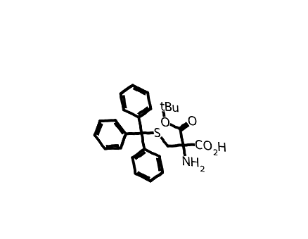 CC(C)(C)OC(=O)C(N)(CSC(c1ccccc1)(c1ccccc1)c1ccccc1)C(=O)O